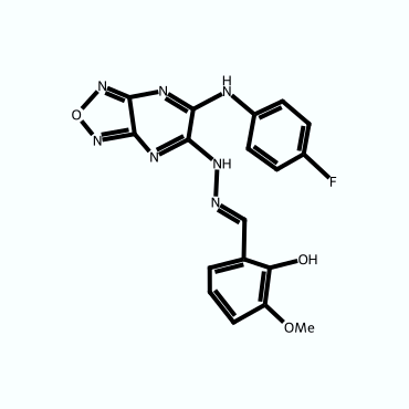 COc1cccc(/C=N/Nc2nc3nonc3nc2Nc2ccc(F)cc2)c1O